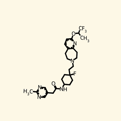 Cc1ncc(CC(=O)NC2CCC(F)(CCN3CCc4ccc(OC(C)C(F)(F)F)nc4CC3)CC2)cn1